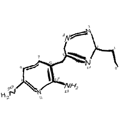 CCC1N=NC(c2ccc(N)nc2N)=N1